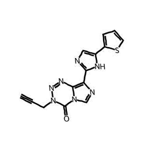 C#CCn1nnc2c(-c3ncc(-c4cccs4)[nH]3)ncn2c1=O